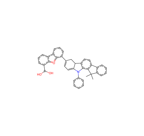 CC1(C)c2ccccc2-c2ccc3c(c21)N(c1ccccc1)C1=CC=C(c2cccc4c2oc2c(B(O)O)cccc24)CC13